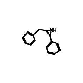 c1ccc(CC2NC2c2ccccc2)cc1